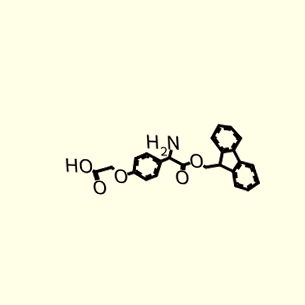 NC(C(=O)OCC1c2ccccc2-c2ccccc21)c1ccc(OCC(=O)O)cc1